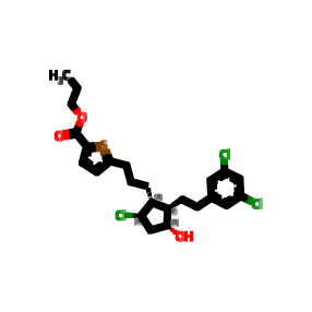 CCCOC(=O)c1ccc(CCC[C@@H]2[C@@H](CCc3cc(Cl)cc(Cl)c3)[C@H](O)C[C@H]2Cl)s1